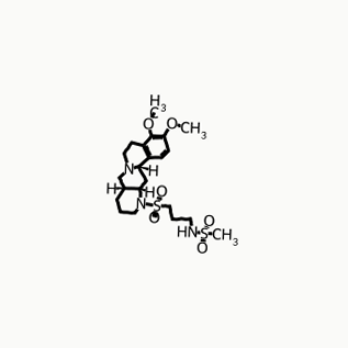 COc1ccc2c(c1OC)CCN1C[C@H]3CCCN(S(=O)(=O)CCCNS(C)(=O)=O)[C@H]3C[C@@H]21